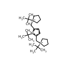 CC(C)(C)n1c(C[N+]2(C(C)(C)C)CCCC2)ccc1C[N+]1(C(C)(C)C)CCCC1